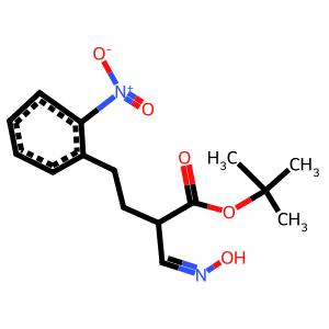 CC(C)(C)OC(=O)C(/C=N\O)CCc1ccccc1[N+](=O)[O-]